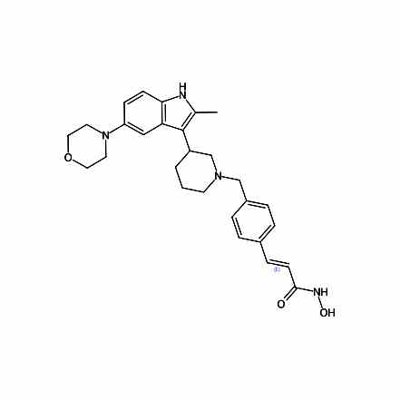 Cc1[nH]c2ccc(N3CCOCC3)cc2c1C1CCCN(Cc2ccc(/C=C/C(=O)NO)cc2)C1